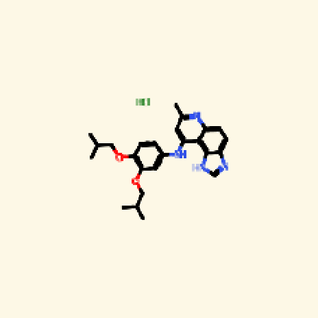 Cc1cc(Nc2ccc(OCC(C)C)c(OCC(C)C)c2)c2c(ccc3nc[nH]c32)n1.Cl